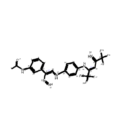 CC(=O)Nc1cccc(/C(=C/Nc2ccc(N/C(=C\C(=N)C(F)(F)F)C(F)(F)F)cc2)N=N)c1